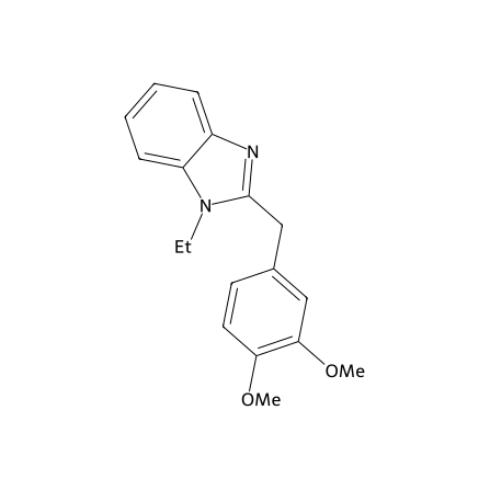 CCn1c(Cc2ccc(OC)c(OC)c2)nc2ccccc21